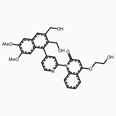 COc1cc2cc(CO)c(CO)c(-c3ccnc(-n4c(=O)cc(OCCO)c5ccccc54)c3)c2cc1OC